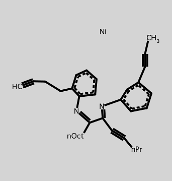 C#CCCc1ccccc1N=C(CCCCCCCC)C(C#CCCC)=Nc1cccc(C#CC)c1.[Ni]